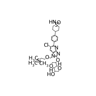 C[Si](C)(C)CCOCn1c(O[C@@H]2CO[C@H]3[C@@H]2OC[C@H]3O)nc2nc(-c3ccc(C4CCS(=N)(=O)CC4)cc3)c(Cl)cc21